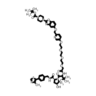 Cc1ncsc1-c1ccc(CNC(=O)[C@@H]2C[C@@H](O)CN2C(=O)C(NC(=O)COCCOCCOCCOc2ccc(COc3ccc4oc(N5CCN(C(=O)OC(C)(C)C)CC5)nc4c3)nc2)C(C)(C)C)cc1